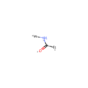 CCC(=O)[NH][W]